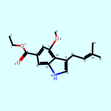 CCOC(=O)c1cc(OC)c2c(CC=C(C)C)c[nH]c2c1